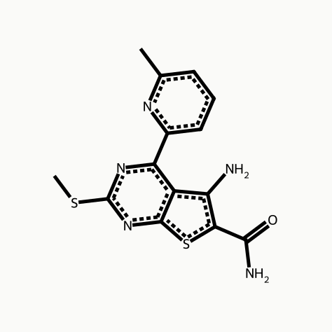 CSc1nc(-c2cccc(C)n2)c2c(N)c(C(N)=O)sc2n1